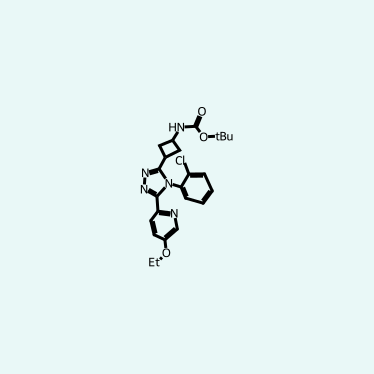 CCOc1ccc(-c2nnc(C3CC(NC(=O)OC(C)(C)C)C3)n2-c2ccccc2Cl)nc1